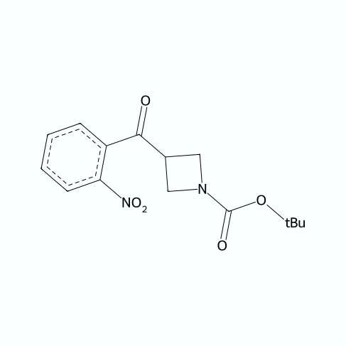 CC(C)(C)OC(=O)N1CC(C(=O)c2ccccc2[N+](=O)[O-])C1